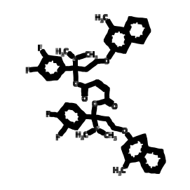 Cc1cc(OCCC(OC(=O)/C=C\C(=O)OC(CCOc2cc(C)c3ccccc3c2)(c2ccc(F)c(F)c2)N(C)C)(c2ccc(F)c(F)c2)N(C)C)cc2ccccc12